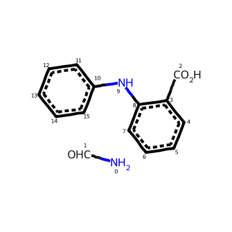 NC=O.O=C(O)c1ccccc1Nc1ccccc1